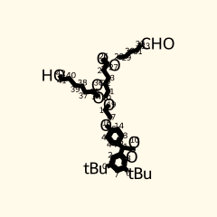 CC(C)(C)c1cc2c(c(C(C)(C)C)c1)OC(=O)C2c1ccc(OCCOC(CCCCC(=O)OCCCCCC=O)OC(=O)CCCCCO)cc1